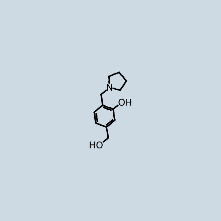 OCc1ccc(CN2CCCC2)c(O)c1